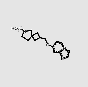 O=C(O)N1CCC2(CC(COc3ccn4ccnc4c3)C2)C1